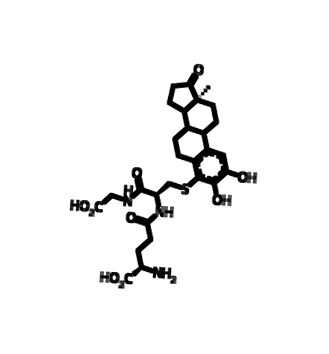 C[C@]12CCC3c4cc(O)c(O)c(SC[C@@H](NC(=O)CC[C@@H](N)C(=O)O)C(=O)NCC(=O)O)c4CCC3C1CCC2=O